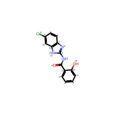 O=C(Nc1nc2ccc(Cl)cc2[nH]1)c1ccccc1O